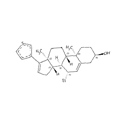 CC[C@H]1C=C2C[C@H](O)CC[C@]2(C)[C@H]2CC[C@]3(C)C(c4ccsc4)=CC[C@H]3[C@H]12